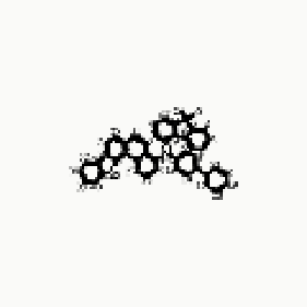 CC1(C)c2ccccc2-c2c(N(c3ccc(-c4ccccc4)cc3)c3cccc4c3ccc3ccc5c6ccccc6sc5c34)cccc21